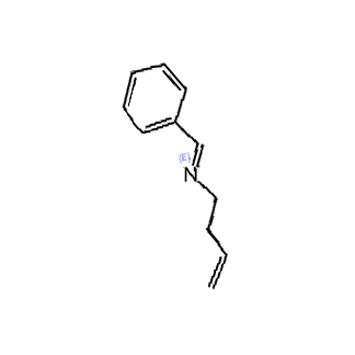 C=CCC/N=C/c1ccccc1